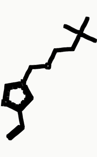 C=Cc1cn(COCC[Si](C)(C)C)cn1